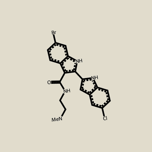 CNCCNC(=O)c1c(-c2cc3cc(Cl)ccc3[nH]2)[nH]c2cc(Br)ccc12